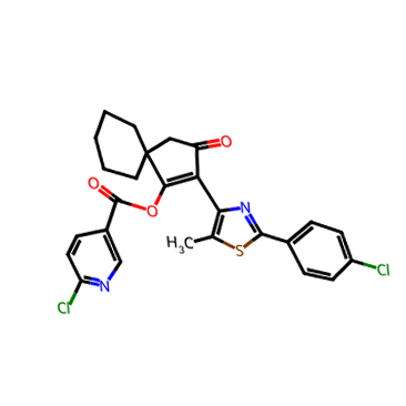 Cc1sc(-c2ccc(Cl)cc2)nc1C1=C(OC(=O)c2ccc(Cl)nc2)C2(CCCCC2)CC1=O